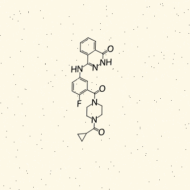 O=C(c1cc(Nc2n[nH]c(=O)c3ccccc23)ccc1F)N1CCN(C(=O)C2CC2)CC1